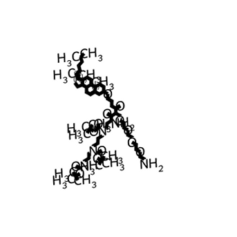 CC(C)CCC[C@@H](C)[C@H]1CCC2C3CC=C4CC(OCCCC(=O)C(COCCOCCOCCOCCN)C(=O)C(N)CCN(CCCCN(CCCNC(=O)OC(C)(C)C)C(=O)OC(C)(C)C)C(=O)OC(C)(C)C)CC[C@]4(C)C3CC[C@@]21C